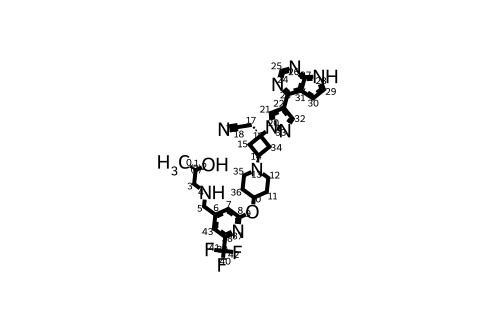 C[C@@H](O)CNCc1cc(OC2CCN([C@H]3C[C@@](CC#N)(n4cc(-c5ncnc6[nH]ccc56)cn4)C3)CC2)nc(C(F)(F)F)c1